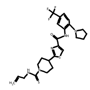 C=CCNC(=S)N1CCC(c2nc(C(=O)Nc3cc(C(F)(F)F)ccc3N3CCCC3)cs2)CC1